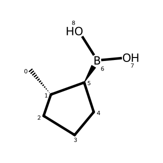 C[C@H]1CCC[C@@H]1B(O)O